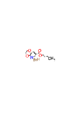 Br.CCCCOC(=O)c1cnc2c(c1)OCCO2